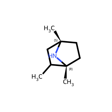 CC1C[C@]2(C)CC[C@@]1(C)N2